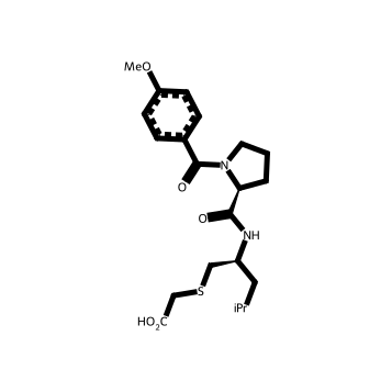 COc1ccc(C(=O)N2CCC[C@H]2C(=O)N[C@H](CSCC(=O)O)CC(C)C)cc1